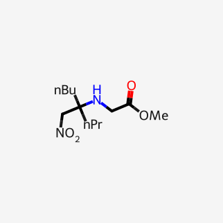 CCCCC(CCC)(C[N+](=O)[O-])NCC(=O)OC